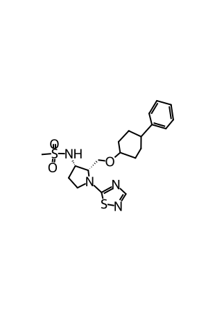 CS(=O)(=O)N[C@H]1CCN(c2ncns2)[C@H]1COC1CCC(c2ccccc2)CC1